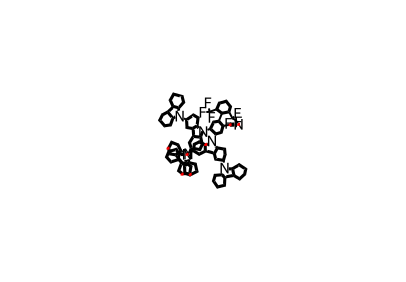 N#Cc1cc(-n2c3ccc(-n4c5ccccc5c5ccccc54)cc3c3cc(-n4c5ccccc5c5ccccc54)ccc32)c(-n2c3ccc(-n4c5ccccc5c5ccccc54)cc3c3cc(-n4c5ccccc5c5ccccc54)ccc32)cc1-c1c(C(F)(F)F)cccc1C(F)(F)F